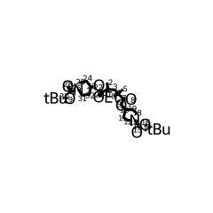 CCC(C)(CC(C)(C)C(=O)OC1CCN(C(=O)OC(C)(C)C)CC1)C(=O)OC1CCN(C(=O)OC(C)(C)C)CC1